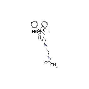 CC(=O)/C=C/CC/C=C/CCCC(C)(C)[Si](O)(c1ccccc1)c1ccccc1